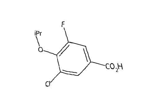 CC(C)Oc1c(F)cc(C(=O)O)cc1Cl